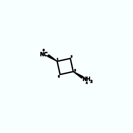 N#C[C@H]1C[C@@H](N)C1